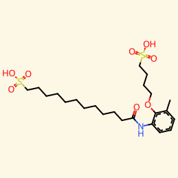 Cc1cccc(NC(=O)CCCCCCCCCCCS(=O)(=O)O)c1OCCCCS(=O)(=O)O